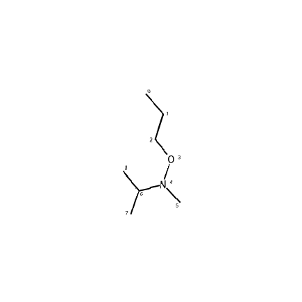 CCCON(C)C(C)C